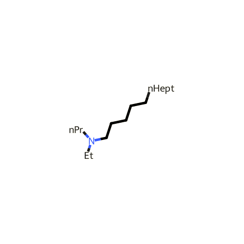 CCCCCCCCCCCCN(CC)CCC